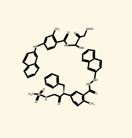 CCCCC(NC(=O)c1ccc(Nc2ccc3ccccc3c2)cc1C)C(=O)CNC(C)=O.Cc1ccc([C@H](Cc2ccccc2)C(=O)CNS(C)(=O)=O)cc1C(=O)NNc1ccc2ccccc2c1